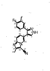 Cc1cc(-c2n[nH]cc2-c2ccc3nc(C)c(C#N)n3c2)ccc1F